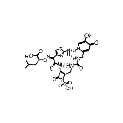 CC(C)C[C@H](O/N=C(\C(=O)N[C@@H]1C(=O)N(S(=O)(=O)O)[C@@H]1CNC(=O)NCc1cc(=O)c(O)cn1O)c1csc(N)n1)C(=O)O